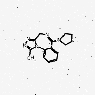 Cc1nnc2n1-c1ccccc1C(N1CCCC1)=NC2